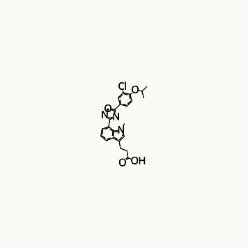 CC(C)Oc1ccc(-c2nc(-c3cccc4c(CCC(=O)O)cn(C)c34)no2)cc1Cl